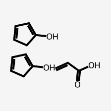 C=CC(=O)O.OC1=CC=CC1.OC1=CC=CC1